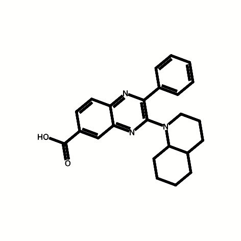 O=C(O)c1ccc2nc(-c3ccccc3)c(N3CCCC4CCCCC43)nc2c1